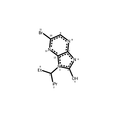 CCC(C(C)C)n1c(O)nc2ncc(Br)nc21